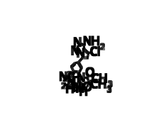 [2H]C([2H])([2H])C1([2H])N(c2cc(-c3cc(Cl)c4c(N)ncnn34)ccc2C#N)C(=O)C(C)(C)OC1([2H])[2H]